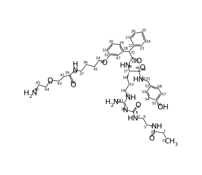 CCC(=O)NCCNC(=O)/N=C(/N)NCCC[C@@H](NC(=O)C(c1ccccc1)c1cccc(OCCCCNC(=O)CCOCCN)c1)C(=O)NCc1ccc(O)cc1